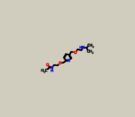 CC(=O)NCCOCc1ccc(COCCNC(C)C)cn1